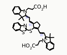 CC1(C)C(/C=C/C2=C(Sc3nc4ccccc4s3)C(=C/C=C3/N(CCC(=O)O)c4ccccc4C3(C)C)/CC2)=[N+](CCC(=O)O)c2ccccc21